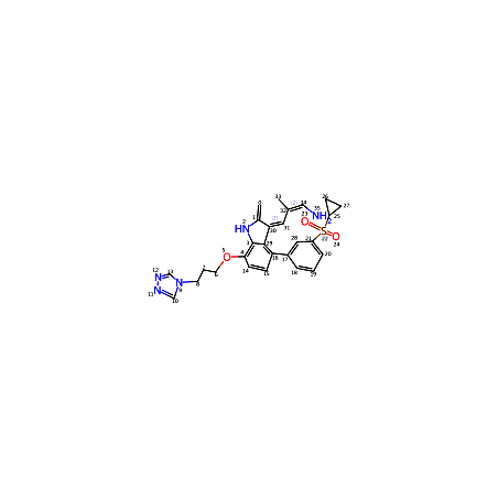 C=c1[nH]c2c(OCCCn3cnnc3)ccc(-c3cccc(S(=O)(=O)C4CC4)c3)c2/c1=C/C(C)=C\N